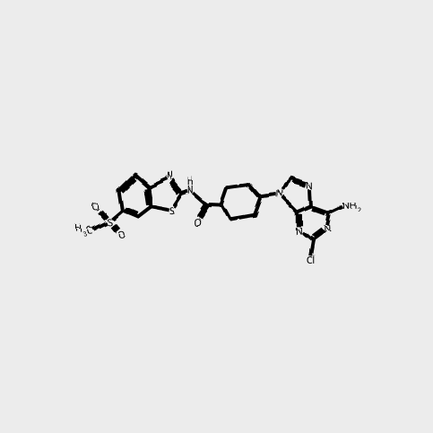 CS(=O)(=O)c1ccc2nc(NC(=O)C3CCC(n4cnc5c(N)nc(Cl)nc54)CC3)sc2c1